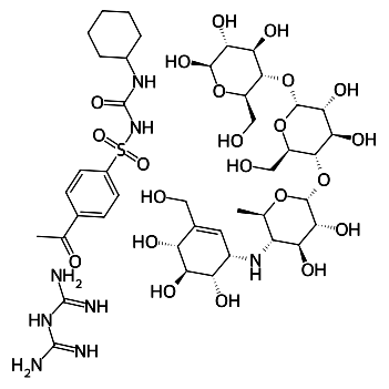 CC(=O)c1ccc(S(=O)(=O)NC(=O)NC2CCCCC2)cc1.C[C@H]1O[C@H](O[C@H]2[C@H](O)[C@@H](O)[C@@H](O[C@H]3[C@H](O)[C@@H](O)[C@H](O)O[C@@H]3CO)O[C@@H]2CO)[C@H](O)[C@@H](O)[C@@H]1N[C@H]1C=C(CO)[C@@H](O)[C@H](O)[C@H]1O.N=C(N)NC(=N)N